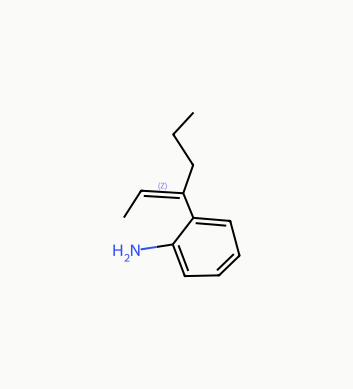 C/C=C(/CCC)c1ccccc1N